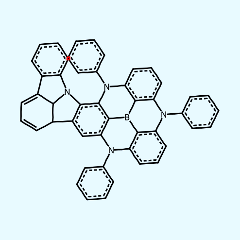 C1=CC2c3cc4c5c(c3N3c6ccccc6C(=C1)C23)N(c1ccccc1)c1cccc2c1B5c1c(cccc1N4c1ccccc1)N2c1ccccc1